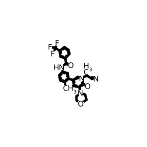 Cc1ccc(NC(=O)c2cccc(C(F)(F)F)c2)cc1-c1cc(N2CCOCC2)c(=O)n(C(C)C#N)c1